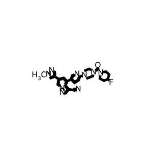 Cn1cc(-c2cc(-c3ccc(N4CCN(C(=O)N5CCC(F)CC5)CC4)nc3)c3c(C#N)cnn3c2)cn1